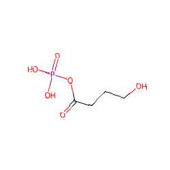 O=C(CCCO)OP(=O)(O)O